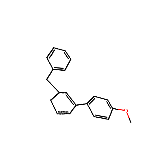 COc1ccc(C2=CC(Cc3ccccc3)CC=C2)cc1